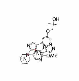 COc1ncc(CN2C3CC2CN(c2ncc(-c4cc(OCC(C)(C)O)cn5ncc(C#N)c45)s2)C3)cc1F